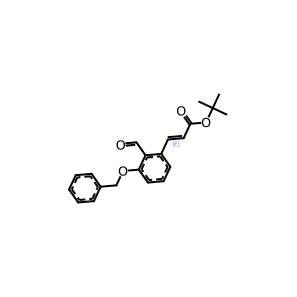 CC(C)(C)OC(=O)/C=C/c1cccc(OCc2ccccc2)c1C=O